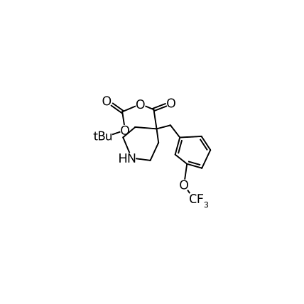 CC(C)(C)OC(=O)OC(=O)C1(Cc2cccc(OC(F)(F)F)c2)CCNCC1